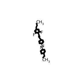 CCCCc1cc(F)c(C#Cc2ccc(N=Nc3ccc(CCC)cc3)cc2)c(F)c1